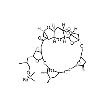 C=C1CC2CC[C@@]34C[C@H]5O[C@H]6C(O3)[C@H]3O[C@H](CC[C@@H]3O[C@H]6C5O4)CC(=O)C[C@H]3C(C[C@H]4OC(CCC1O2)C[C@@H](C)C4=C)O[C@H](C[C@H](C)CO[Si](C)(C)C(C)(C)C)[C@@H]3C